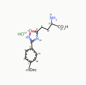 CCCCCCCCCCc1ccc(-c2noc(CCC(N)C(=O)O)n2)cc1.Cl